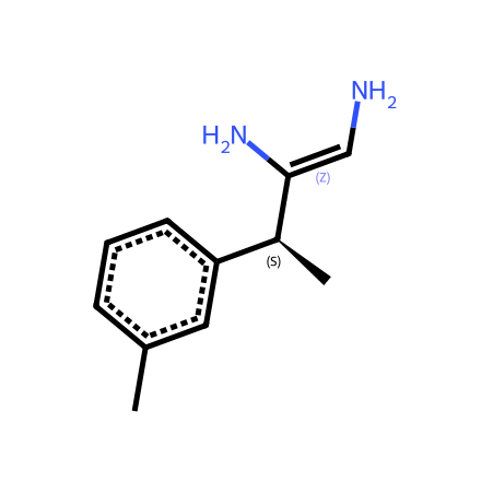 Cc1cccc([C@H](C)/C(N)=C/N)c1